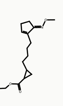 CCOC(=O)C1CC1CCCCC1=CCCC1=NOC